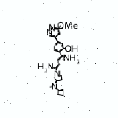 COc1cc(-c2ccc(/C(N)=C/C=C(\N)N3CCC(N(C)C4CCC4)C3)c(O)c2)cnn1